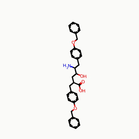 NC(Cc1ccc(OCc2ccccc2)cc1)C(O)CC(Cc1ccc(OCc2ccccc2)cc1)C(=O)O